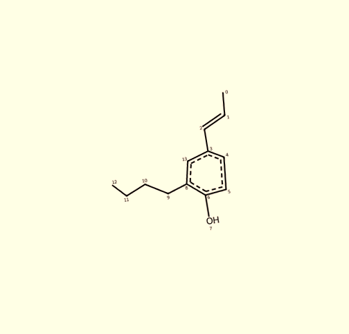 CC=Cc1ccc(O)c(CCCC)c1